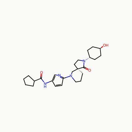 O=C(Nc1ccc(N2CCC[C@@]3(CCN([C@H]4CC[C@H](O)CC4)C3=O)C2)nc1)C1CCCC1